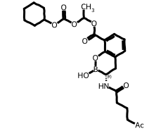 CC(=O)CCCC(=O)N[C@H]1Cc2cccc(C(=O)OC(C)OC(=O)OC3CCCCC3)c2OB1O